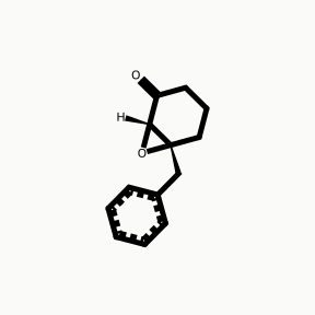 O=C1CCC[C@]2(Cc3ccccc3)O[C@H]12